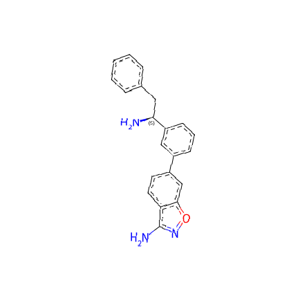 Nc1noc2cc(-c3cccc([C@@H](N)Cc4ccccc4)c3)ccc12